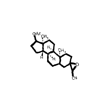 CC(=O)OC1CC[C@H]2[C@@H]3CCC4CC5(CC[C@]4(C)[C@@H]3CC[C@]12C)OC5C#N